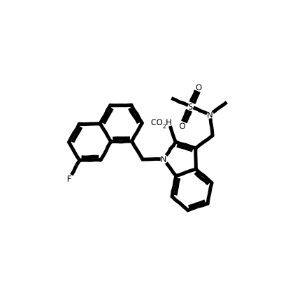 CN(Cc1c(C(=O)O)n(Cc2cccc3ccc(F)cc23)c2ccccc12)S(C)(=O)=O